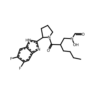 CCCCC(CN(O)C=O)C(=O)N1CCCC1c1nc2cc(F)c(F)cc2[nH]1